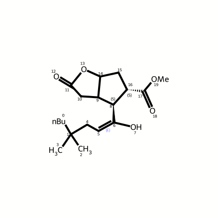 CCCCC(C)(C)C/C=C(/O)[C@H]1C2CC(=O)OC2C[C@@H]1C(=O)OC